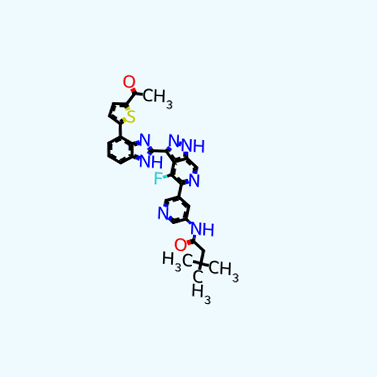 CC(=O)c1ccc(-c2cccc3[nH]c(-c4n[nH]c5cnc(-c6cncc(NC(=O)CC(C)(C)C)c6)c(F)c45)nc23)s1